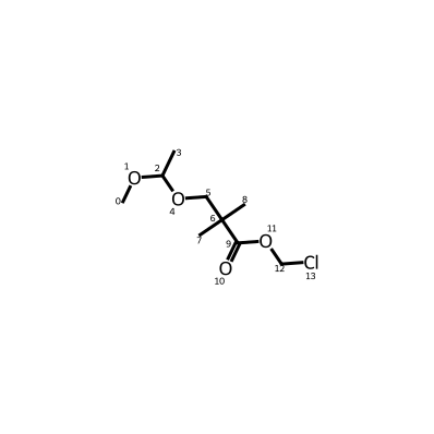 COC(C)OCC(C)(C)C(=O)OCCl